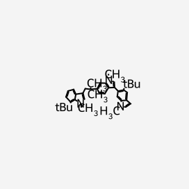 Cn1ccc2cc(C(C)(C)C)c(-c3cn(C)c4cc(C(C)(C)Cc5cn(C)c6c(C(C)(C)C)cccc56)ccc34)cc21